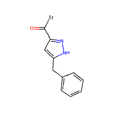 CCC(=O)c1cc(Cc2ccccc2)[nH]n1